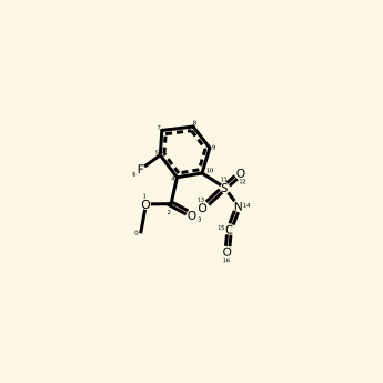 COC(=O)c1c(F)cccc1S(=O)(=O)N=C=O